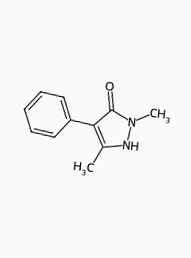 Cc1[nH]n(C)c(=O)c1-c1ccccc1